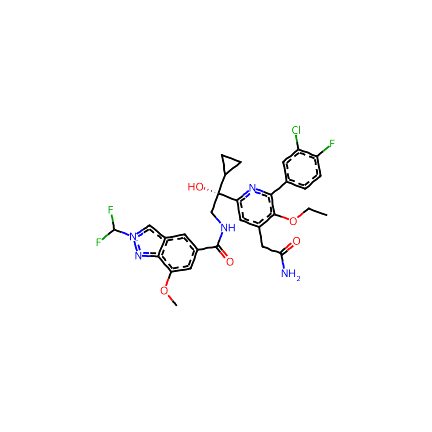 CCOc1c(CC(N)=O)cc([C@@](O)(CNC(=O)c2cc(OC)c3nn(C(F)F)cc3c2)C2CC2)nc1-c1ccc(F)c(Cl)c1